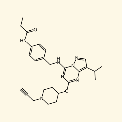 C#CCN1CCC(Oc2nc(NCc3ccc(NC(=O)CC)cc3)n3ncc(C(C)C)c3n2)CC1